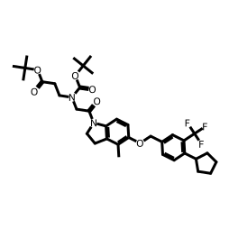 Cc1c(OCc2ccc(C3CCCC3)c(C(F)(F)F)c2)ccc2c1CCN2C(=O)CN(CCC(=O)OC(C)(C)C)C(=O)OC(C)(C)C